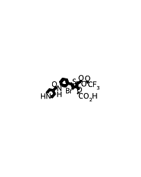 O=C(O)COc1c(C(=O)OC(=O)C(F)(F)F)sc(-c2cccc(NC(=O)C3CCNCC3)c2)c1Br